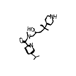 CC(C)c1ccc(C(=O)N(C)CC(O)CC(C)(C)C2=CCNCC2)nc1